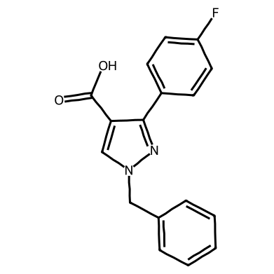 O=C(O)c1cn(Cc2ccccc2)nc1-c1ccc(F)cc1